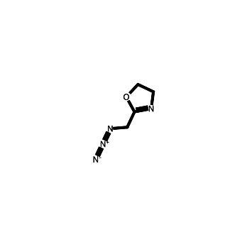 [N-]=[N+]=NCC1=NCCO1